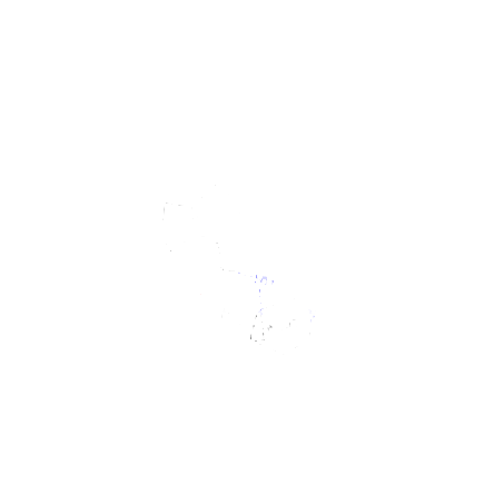 O=C(N[C@H]1CN2CCC1CC2)c1cccc2c1CCC2